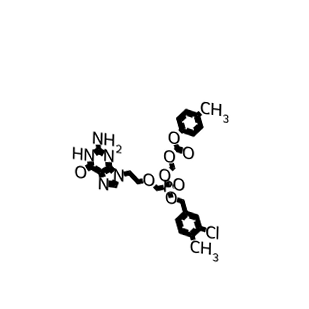 Cc1ccc(OC(=O)OCOP(=O)(COCCn2cnc3c(=O)[nH]c(N)nc32)OCc2ccc(C)c(Cl)c2)cc1